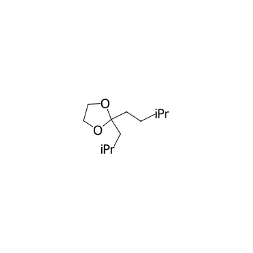 CC(C)CCC1(CC(C)C)OCCO1